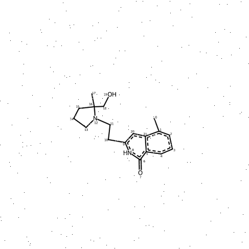 Cc1cccc2c(=O)[nH]c(CCN3CCCC3(C)CO)cc12